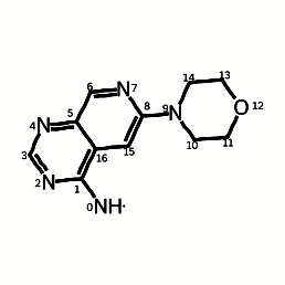 [NH]c1ncnc2cnc(N3CCOCC3)cc12